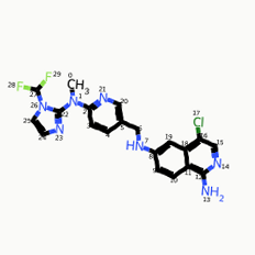 CN(c1ccc(CNc2ccc3c(N)ncc(Cl)c3c2)cn1)c1nccn1C(F)F